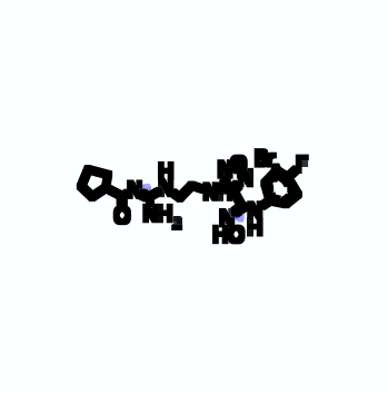 N/C(=N\C(=O)C1CCCC1)NCCNc1nonc1/C(=N/O)Nc1ccc(F)c(Br)c1